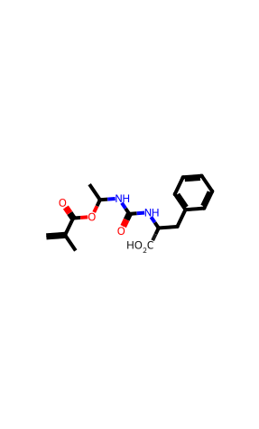 C=C(C)C(=O)OC(C)NC(=O)NC(Cc1ccccc1)C(=O)O